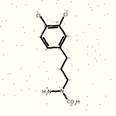 NN(CCCc1ccc(Cl)c(Cl)c1)C(=O)O